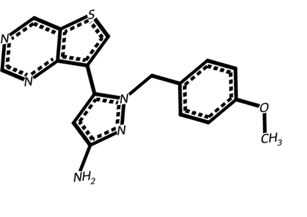 COc1ccc(Cn2nc(N)cc2-c2csc3cncnc23)cc1